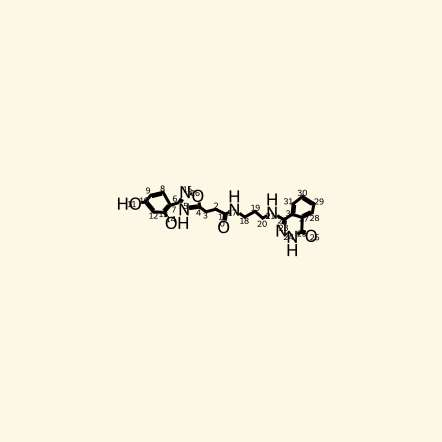 O=C(CCc1nc(-c2ccc(O)cc2O)no1)NCCCNc1n[nH]c(=O)c2ccccc12